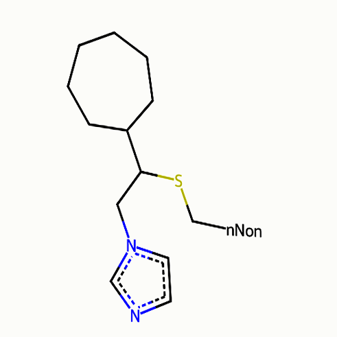 CCCCCCCCCCSC(Cn1ccnc1)C1CCCCCC1